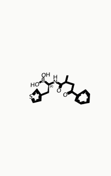 CC(CC(=O)c1ccccc1)C(=O)N[C@@H](Cc1ccsc1)B(O)O